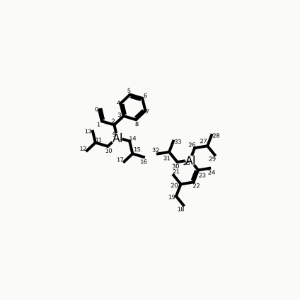 C=C[CH](c1ccccc1)[Al]([CH2]C(C)C)[CH2]C(C)C.CCC(C)C=[C](C)[Al]([CH2]C(C)C)[CH2]C(C)C